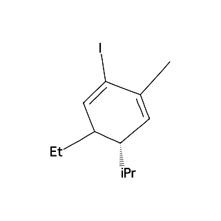 CCC1C=C(I)C(C)=C[C@@H]1C(C)C